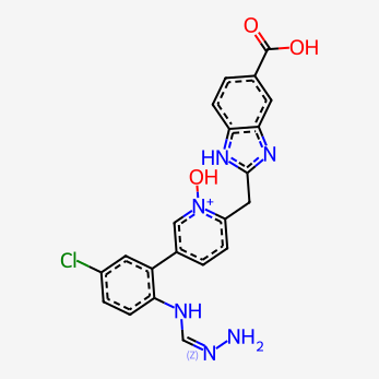 N/N=C\Nc1ccc(Cl)cc1-c1ccc(Cc2nc3cc(C(=O)O)ccc3[nH]2)[n+](O)c1